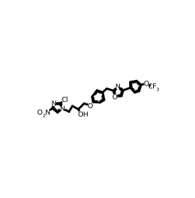 O=[N+]([O-])c1cn(CCC(O)COc2ccc(Cc3nc(-c4ccc(OC(F)(F)F)cc4)co3)cc2)c(Cl)n1